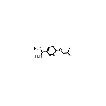 CC(N)C1=CCC(OCC(F)F)N=C1